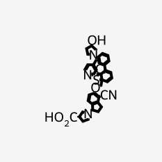 CC1(Cl)C(c2ccccc2)=CC=CC1(COc1ccc2c(c1C#N)CC[C@H]2N1CC[C@@H](C(=O)O)C1)Sc1cc(CN2CC[C@@H](O)C2)ccn1